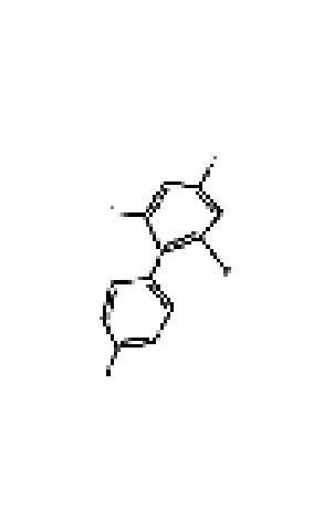 Cc1ccc(-c2c(F)cc(F)cc2F)cc1